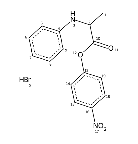 Br.CC(Nc1ccccc1)C(=O)Oc1ccc([N+](=O)[O-])cc1